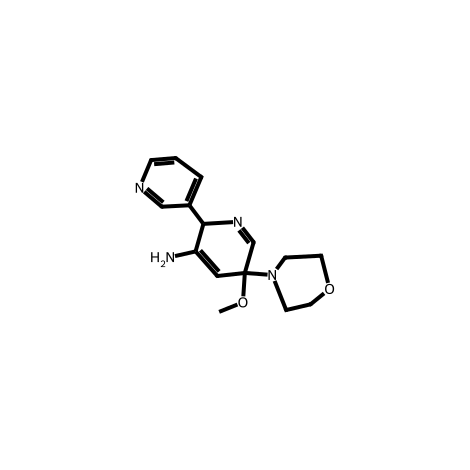 COC1(N2CCOCC2)C=NC(c2cccnc2)C(N)=C1